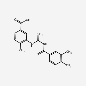 C=C(NC(=O)c1ccc(C)c(C)c1)Nc1cc(C(=O)O)ccc1C